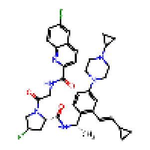 C[C@H](NC(=O)[C@@H]1C[C@@H](F)CN1C(=O)CNC(=O)c1ccc2cc(F)ccc2n1)c1ccc(N2CCN(C3CC3)CC2)cc1/C=C/C1CC1